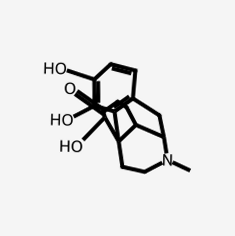 CN1CCC23c4c(ccc(O)c4O)CC1C2CCC(=O)C3O